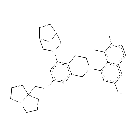 Oc1cc(N2CCc3c(N4CC5CCC(C4)N5)cc(OCC45CCCN4CCC5)nc3C2)c2c(Cl)c(F)ccc2c1